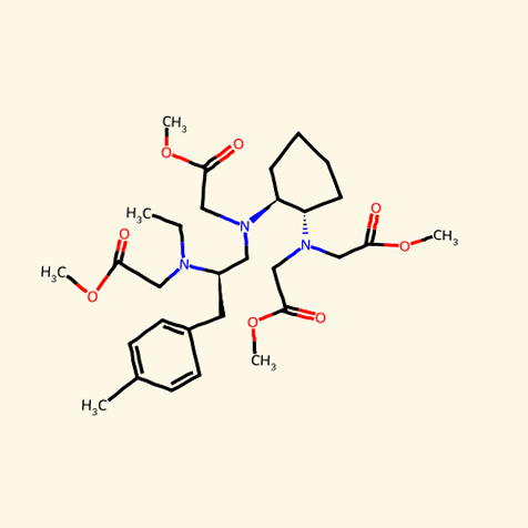 CCN(CC(=O)OC)[C@H](Cc1ccc(C)cc1)CN(CC(=O)OC)[C@H]1CCCC[C@@H]1N(CC(=O)OC)CC(=O)OC